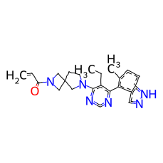 C=CC(=O)N1CC2(CCN(c3ncnc(-c4c(C)ccc5[nH]ncc45)c3CC)C2)C1